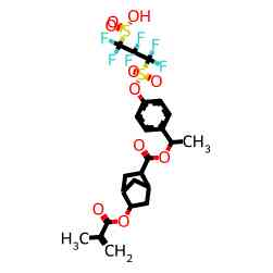 C=C(C)C(=O)OC1CC2CC1CC2C(=O)OC(C)c1ccc(OS(=O)(=O)C(F)(F)C(F)(F)C(F)(F)S(=O)(=O)O)cc1